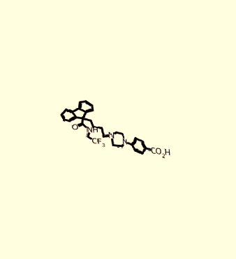 O=C(O)c1ccc(N2CCN(CCCCC3(C(=O)NCC(F)(F)F)c4ccccc4-c4ccccc43)CC2)cc1